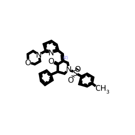 Cc1ccc(S(=O)(=O)N2C/C(=C/c3cccc(N4CCOCC4)n3)C(=O)C(c3ccccc3)C2)cc1